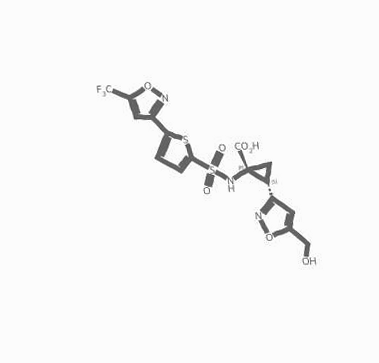 O=C(O)[C@@]1(NS(=O)(=O)c2ccc(-c3cc(C(F)(F)F)on3)s2)C[C@@H]1c1cc(CO)on1